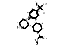 COC(=O)[C@H]1CC[C@H](c2cc(C(F)(F)F)ccc2N2CCNCC2)CC1